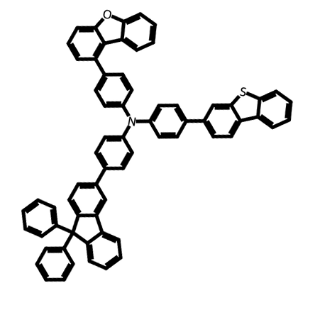 c1ccc(C2(c3ccccc3)c3ccccc3-c3cc(-c4ccc(N(c5ccc(-c6ccc7c(c6)sc6ccccc67)cc5)c5ccc(-c6cccc7oc8ccccc8c67)cc5)cc4)ccc32)cc1